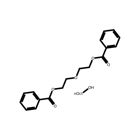 CCCCCCCCO.O=C(OCCOCCOC(=O)c1ccccc1)c1ccccc1